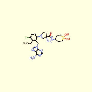 CCc1c(Cl)ccc(N2CCC(N)(C(=O)NC3CCS(O)(O)CC3)C2)c1Cn1cnc2c(N)ncnc21